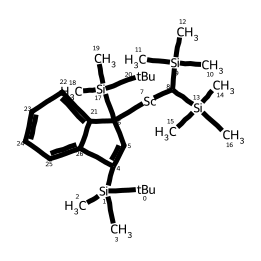 CC(C)(C)[Si](C)(C)C1=C[C]([Sc][CH]([Si](C)(C)C)[Si](C)(C)C)([Si](C)(C)C(C)(C)C)c2ccccc21